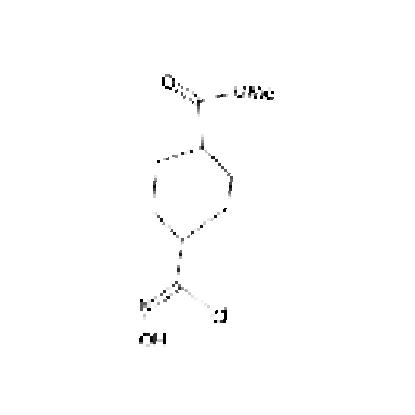 COC(=O)C1CCC(C(Cl)=NO)CC1